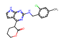 Cc1ccc(CNc2nc(C3CCCOC3=O)c3cc[nH]c3n2)c(Cl)c1